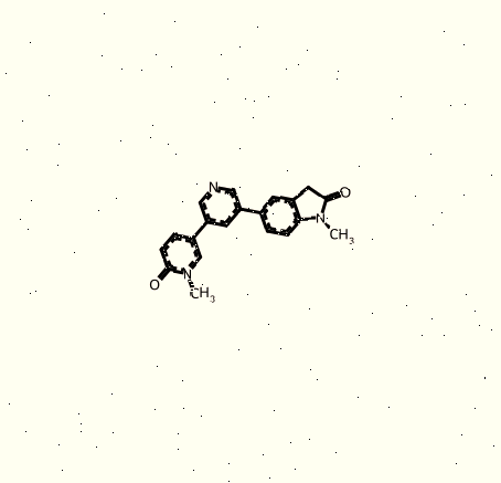 CN1C(=O)Cc2cc(-c3cncc(-c4ccc(=O)n(C)c4)c3)ccc21